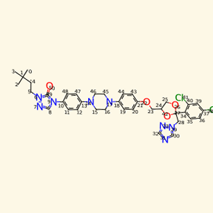 CC(C)(C)[CH]Cn1ncn(-c2ccc(N3CCN(c4ccc(OCC5COC(Cn6cncn6)(c6ccc(Cl)cc6Cl)O5)cc4)CC3)cc2)c1=O